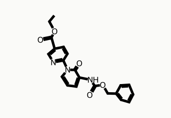 CCOC(=O)c1ccc(-n2cccc(NC(=O)OCc3ccccc3)c2=O)nc1